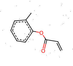 C=CC(=O)Oc1ccccc1C